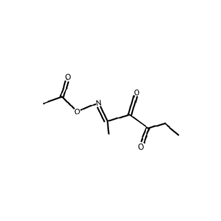 CCC(=O)C(=O)/C(C)=N/OC(C)=O